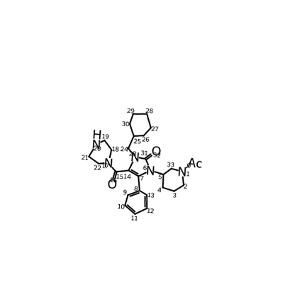 CC(=O)N1CCCC(n2c(-c3ccccc3)c(C(=O)N3CCNCC3)n(CC3CCCCC3)c2=O)C1